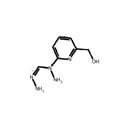 N/N=C\N(N)c1cccc(CO)n1